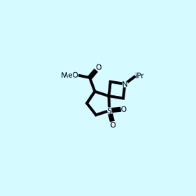 COC(=O)C1CCS(=O)(=O)C12CN(C(C)C)C2